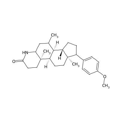 COc1ccc(C2CC[C@H]3[C@@H]4C(C)CC5NC(=O)CC[C@]5(C)[C@@H]4CC[C@]23C)cc1